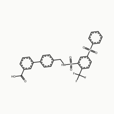 O=C(O)c1cccc(-c2ccc(CNS(=O)(=O)c3cc(S(=O)(=O)c4ccccc4)ccc3C(F)(F)F)cc2)c1